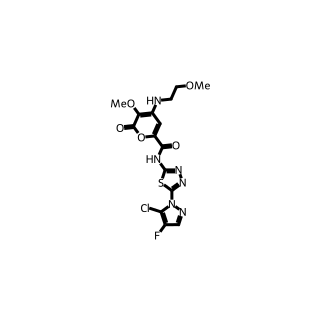 COCCNc1cc(C(=O)Nc2nnc(-n3ncc(F)c3Cl)s2)oc(=O)c1OC